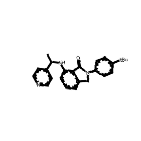 CC(Nc1cccc2c1C(=O)N(c1ccc(C(C)(C)C)cc1)C2)c1ccncc1